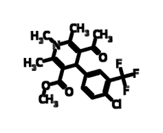 COC(=O)C1=C(C)N(C)C(C)=C(C(C)=O)C1c1ccc(Cl)c(C(F)(F)F)c1